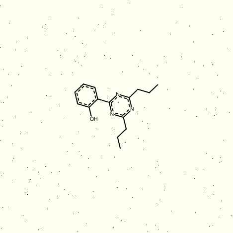 CCCc1nc(CCC)nc(-c2ccccc2O)n1